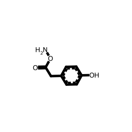 NOC(=O)Cc1ccc(O)cc1